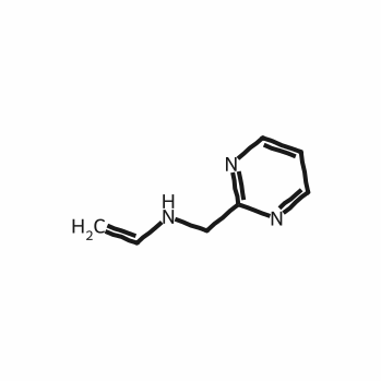 C=CNCc1ncccn1